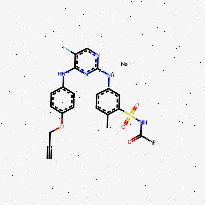 C#CCOc1ccc(Nc2nc(Nc3ccc(C)c(S(=O)(=O)NC(=O)C(C)C)c3)ncc2F)cc1.[Na]